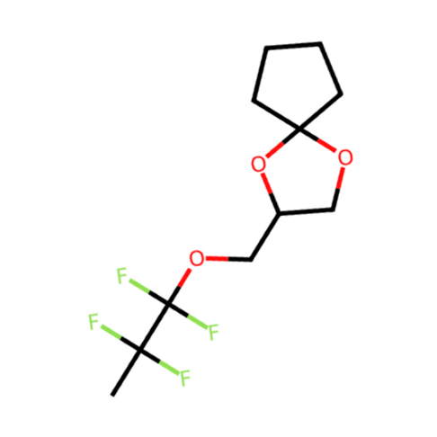 CC(F)(F)C(F)(F)OCC1COC2(CCCC2)O1